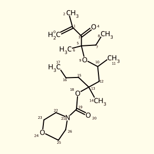 C=C(C)C(=O)C(C)(CC)OC(C)CC(C)(CCC)OC(=O)N1CCOCC1